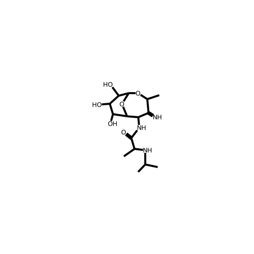 CC(C)NC(C)C(=O)NC1C(=N)C(C)OC2OC1C(O)C(O)C2O